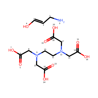 NCC=CO.O=C(O)CN(CCN(CC(=O)O)CC(=O)O)CC(=O)O